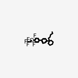 CCCCCC1(c2ccc(-c3cc(F)c(OCC(F)(F)F)c(F)c3)cc2)CCCCC1